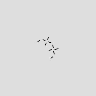 C[Si](O)(ON)O[Si](C)(O)ON